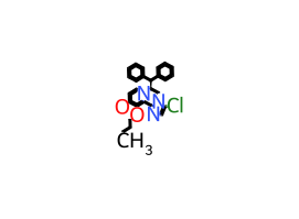 CCCCOc1c2n(ccc1=O)[C@@H](C(c1ccccc1)c1ccccc1)Cn1c(Cl)cnc1-2